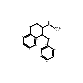 O=C(O)NC1CCc2ccccc2C1Cc1ccccc1